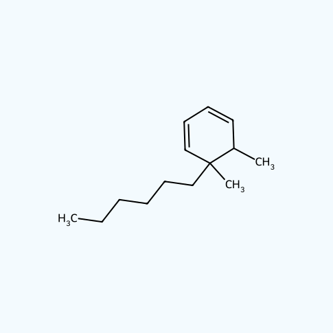 CCCCCCC1(C)C=CC=CC1C